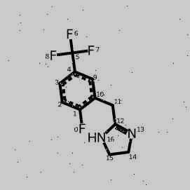 Fc1ccc(C(F)(F)F)cc1CC1=NCCN1